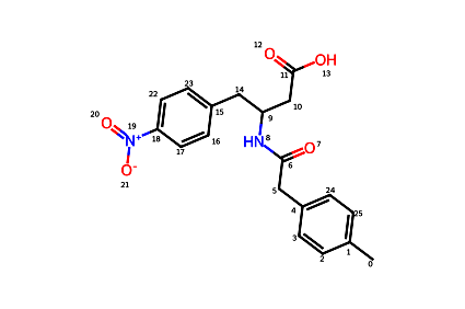 Cc1ccc(CC(=O)NC(CC(=O)O)Cc2ccc([N+](=O)[O-])cc2)cc1